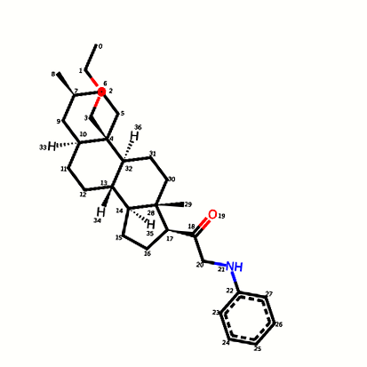 CCOC[C@]12CC[C@H](C)C[C@@H]1CC[C@H]1[C@@H]3CC[C@H](C(=O)CNc4ccccc4)[C@@]3(C)CC[C@@H]12